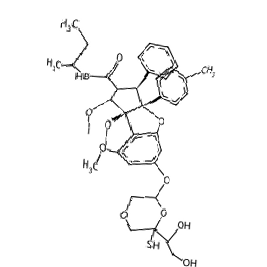 CCC(C)BC(=O)C1C(OI)[C@@]2(OI)c3c(OC)cc(OC4COCC(S)(C(O)CO)O4)cc3O[C@@]2(c2ccc(C)cc2)[C@@H]1c1ccccc1